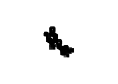 Cn1cc(COc2cc(=O)n(C)cc2Br)cn1